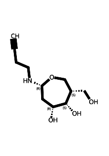 C#CCCN[C@H]1C[C@@H](O)[C@@H](O)[C@@H](CO)CO1